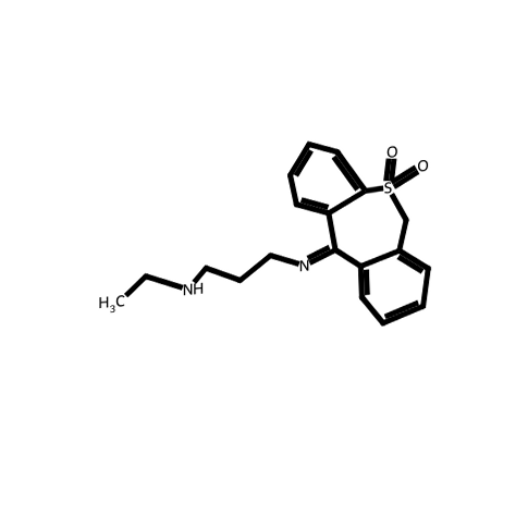 CCNCCCN=C1c2ccccc2CS(=O)(=O)c2ccccc21